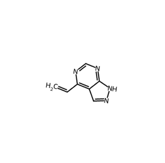 C=Cc1ncnc2[nH]ncc12